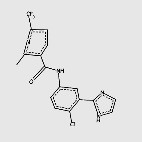 Cc1nc(C(F)(F)F)ccc1C(=O)Nc1ccc(Cl)c(-c2ncc[nH]2)c1